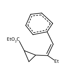 CCOC(=O)C1CC1C(=Cc1ccccc1)CC